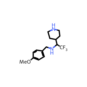 COc1ccc(CNC(C2CCNCC2)C(F)(F)F)cc1